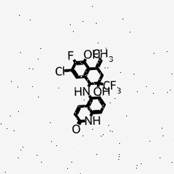 C/C=C1/CC(O)(C(F)(F)F)C(Nc2cccc3[nH]c(=O)ccc23)c2cc(Cl)c(F)c(O)c21